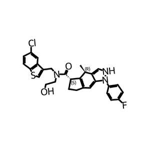 C[C@H]1C2=CNN(c3ccc(F)cc3)C2=CC2=C1[C@@H](C(=O)N(CCO)Cc1csc3ccc(Cl)cc13)CC2